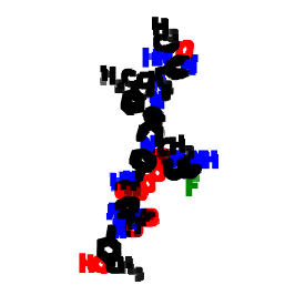 COc1nc2[nH]cc(F)c2cc1Oc1cc(N2CCC3(CC2)CC(N2CCN(Cc4ccnc5c4NC(C)CO5)C[C@H]2c2ccccc2C(C)C)C3)ccc1C(=O)NS(=O)(=O)c1cnc(NCC2CCC(C)(O)CC2)c([N+](=O)[O-])c1